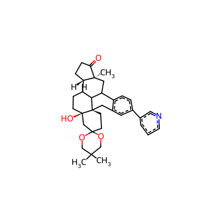 CC1(C)COC2(CC[C@@]34Cc5cc(-c6cccnc6)ccc5C5C[C@]6(C)C(=O)CC[C@H]6[C@H](CC[C@@]3(O)C2)C54)OC1